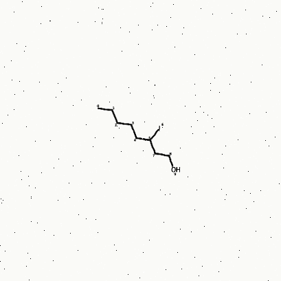 CCCCCC(I)CCO